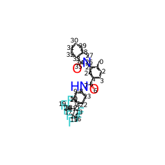 Cc1ccc(C(=O)Nc2ccc(C(F)(C(F)(F)F)C(F)(F)F)cc2)cc1N1Cc2ccccc2C1=O